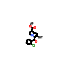 CCCc1cc2n(c1C(=O)c1ccccc1Cl)CCC2C(=O)OC(C)C